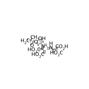 C=C(C)C(=O)OCC(CO)N(CCNC(CC(=O)O)C(=O)O)C(CC(=O)O)C(=O)O